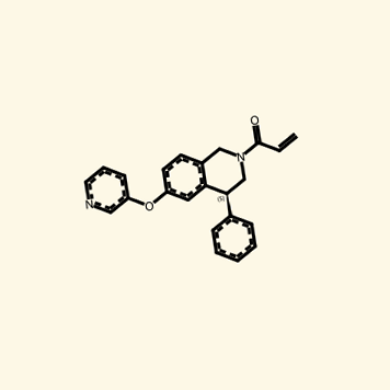 C=CC(=O)N1Cc2ccc(Oc3cccnc3)cc2[C@H](c2ccccc2)C1